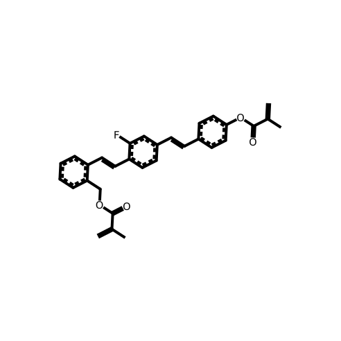 C=C(C)C(=O)OCc1ccccc1/C=C/c1ccc(/C=C/c2ccc(OC(=O)C(=C)C)cc2)cc1F